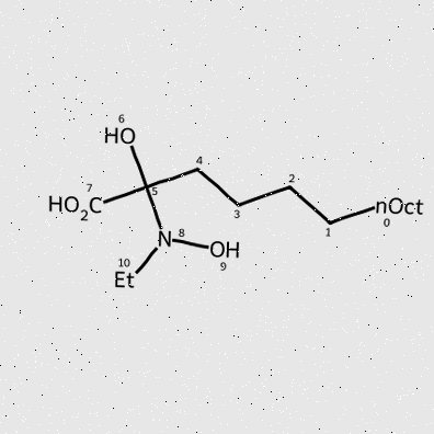 CCCCCCCCCCCCC(O)(C(=O)O)N(O)CC